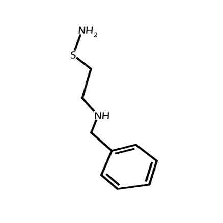 NSCCNCc1ccccc1